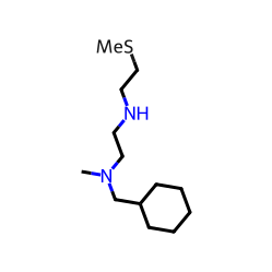 CSCCNCCN(C)CC1CCCCC1